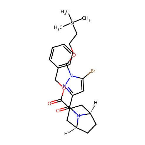 C[Si](C)(C)CCOCn1nc(C(=O)N2[C@@H]3CC[C@H]2CC(C(=O)OCc2ccccc2)C3)cc1Br